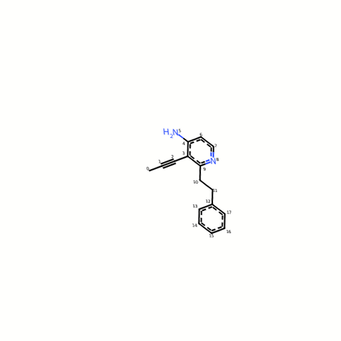 CC#Cc1c(N)ccnc1CCc1ccccc1